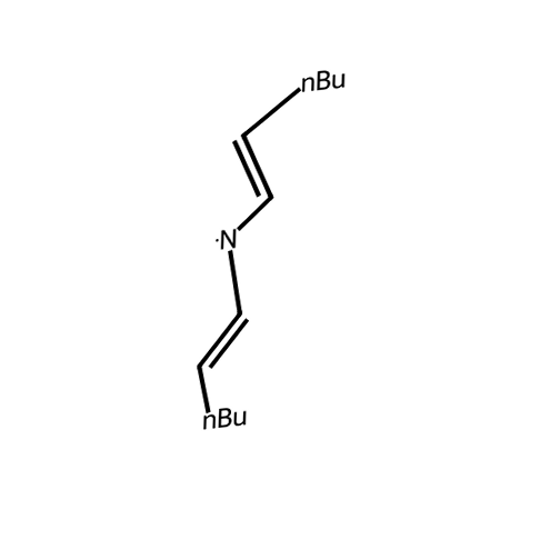 CCCCC=C[N]C=CCCCC